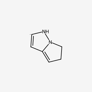 [C]1=CC2=CCCN2N1